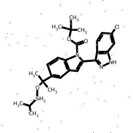 CC(C)[SiH2]OC(C)(C)c1ccc2c(c1)cc(-c1n[nH]c3cc(Cl)ccc13)n2C(=O)OC(C)(C)C